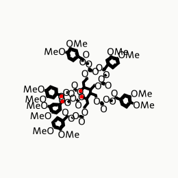 COc1ccc(C(=O)OOC(=O)OCCC(COC(=O)OOC(=O)c2ccc(OC)c(OC)c2)C(COC(=O)OOC(=O)c2ccc(OC)c(OC)c2)C(COC(=O)OOC(=O)c2ccc(OC)c(OC)c2)C(CCOC(=O)OOC(=O)c2ccc(OC)c(OC)c2)COC(=O)OOC(=O)c2ccc(OC)c(OC)c2)cc1OC